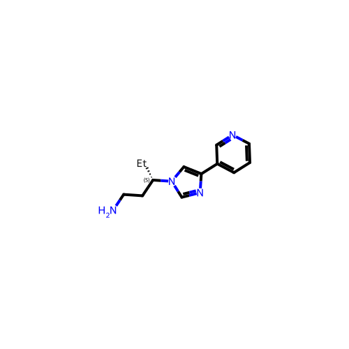 CC[C@@H](CCN)n1cnc(-c2cccnc2)c1